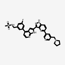 CS(=O)(=O)NCc1cc(F)cc(-c2ccnc3[nH]c(-c4n[nH]c5ccc(-c6cncc(CN7CCCC7)c6)nc45)cc23)c1